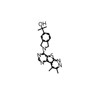 Cc1nnc2sc3c(N4Cc5ccc(C(C)(C)O)cc5C4)ncnc3c2c1C